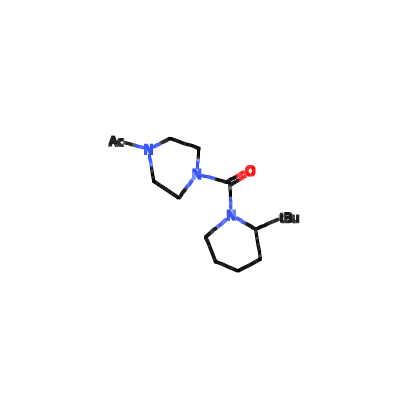 CC(=O)N1CCN(C(=O)N2CCCCC2C(C)(C)C)CC1